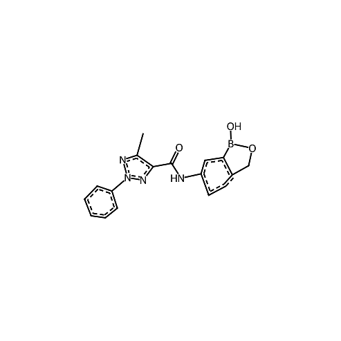 Cc1nn(-c2ccccc2)nc1C(=O)Nc1ccc2c(c1)B(O)OC2